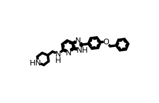 c1ccc(COc2ccc(-c3nc4ccc(NCC5CCNCC5)nc4[nH]3)cc2)cc1